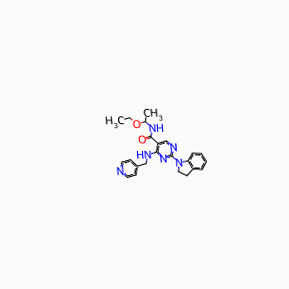 CCOC(C)NC(=O)c1cnc(N2CCc3ccccc32)nc1NCc1ccncc1